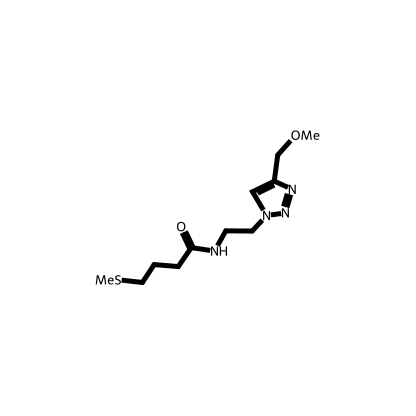 COCc1cn(CCNC(=O)CCCSC)nn1